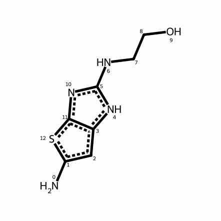 Nc1cc2[nH]c(NCCO)nc2s1